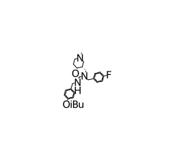 CC(C)COc1ccc(CNC(=O)N(Cc2ccc(F)cc2)C[C@@H]2CCCN(C)C2)cc1